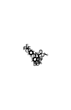 CCOC(=O)c1nn(-c2ccc(OC(F)(F)F)cc2)c2ccc(Br)c(S(C)(=O)=O)c2c1=O